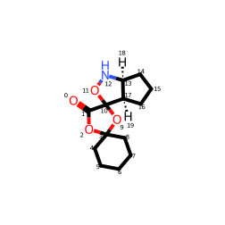 O=C1OC2(CCCCC2)OC12ON[C@H]1CCC[C@H]12